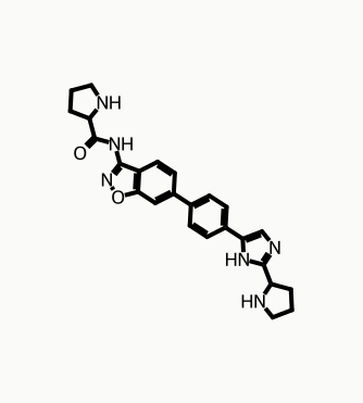 O=C(Nc1noc2cc(-c3ccc(-c4cnc(C5CCCN5)[nH]4)cc3)ccc12)C1CCCN1